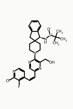 CC(C)(C)[S+]([O-])N[C@@H]1c2ccccc2CC12CCN(c1ncc(/C=C\c3ccnc(Cl)c3F)nc1CO)CC2